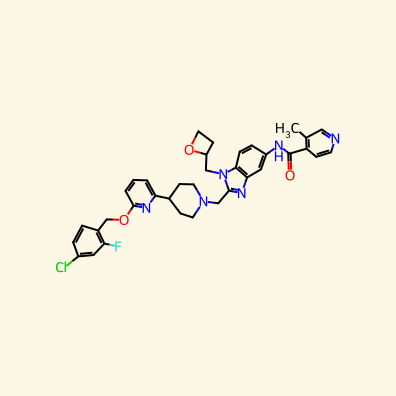 Cc1cnccc1C(=O)Nc1ccc2c(c1)nc(CN1CCC(c3cccc(OCc4ccc(Cl)cc4F)n3)CC1)n2CC1CCO1